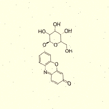 O=c1ccc2nc3ccc(O[C@@H]4OC(CO)[C@@H](O)C(O)C4O)cc3oc-2c1